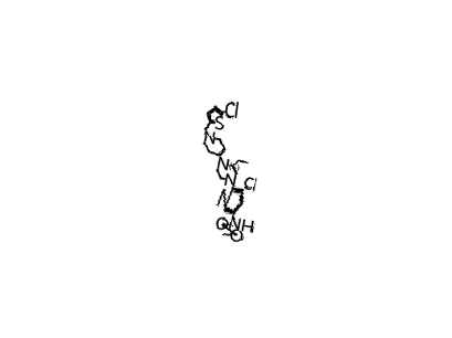 CC[C@H]1CN(c2ncc(NS(C)(=O)=O)cc2Cl)CCN1C1CCN(Cc2ccc(Cl)s2)CC1